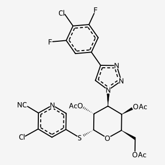 CC(=O)OC[C@H]1O[C@H](Sc2cnc(C#N)c(Cl)c2)[C@H](OC(C)=O)[C@@H](n2cc(-c3cc(F)c(Cl)c(F)c3)nn2)[C@H]1OC(C)=O